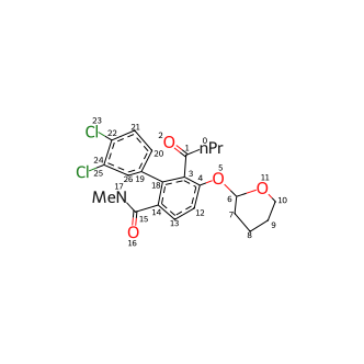 CCCC(=O)c1c(OC2CCCCO2)ccc(C(=O)NC)c1-c1ccc(Cl)c(Cl)c1